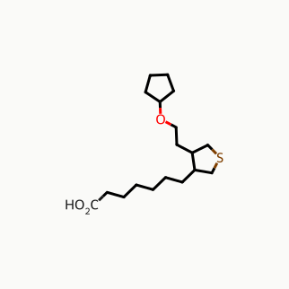 O=C(O)CCCCCCC1CSCC1CCOC1CCCC1